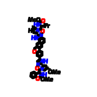 COC[C@H]1C[C@@H](c2ncc(-c3ccc4c(c3)OCc3cc5c(ccc6nc([C@@H]7C[C@H]8C=C8N7C(=O)[C@@H](NC(=O)OC)C(C)C)[nH]c65)cc3-4)[nH]2)N(C(=O)[C@H](NC(=O)OC)c2ccccc2)C1